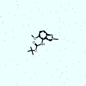 COc1ccc2nn(C)cc2c1NC(=O)OC(C)(C)C